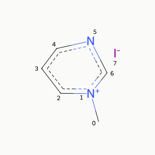 C[n+]1cccnc1.[I-]